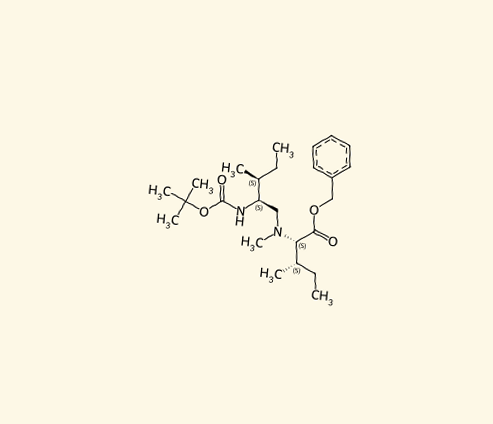 CC[C@H](C)[C@@H](C(=O)OCc1ccccc1)N(C)C[C@@H](NC(=O)OC(C)(C)C)[C@@H](C)CC